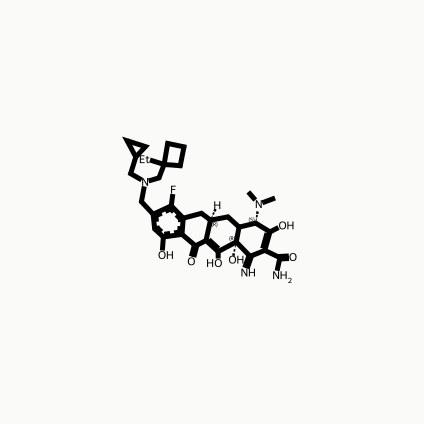 CCC1(CN(Cc2cc(O)c3c(c2F)C[C@H]2CC4[C@H](N(C)C)C(O)=C(C(N)=O)C(=N)[C@@]4(O)C(O)=C2C3=O)CC2CC2)CCC1